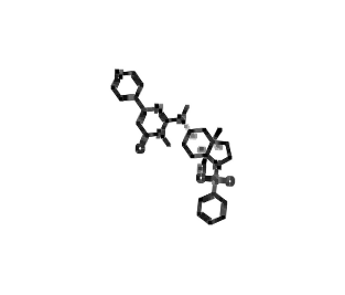 CN(c1nc(-c2ccncc2)cc(=O)n1C)[C@H]1CC[C@H]2N(S(=O)(=O)c3ccccc3)CC[C@@]2(C)C1